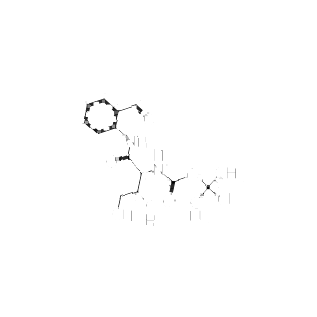 CC[C@H](C)[C@H](NC(=O)OC(C)(C)C)C(=O)Nc1ccccc1C=O